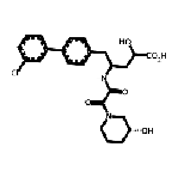 O=C(NC(Cc1ccc(-c2cccc(Cl)c2)cc1)CC(O)C(=O)O)C(=O)N1CCC[C@@H](O)C1